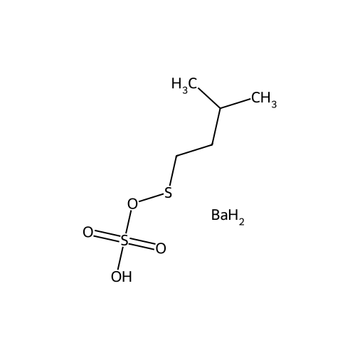 CC(C)CCSOS(=O)(=O)O.[BaH2]